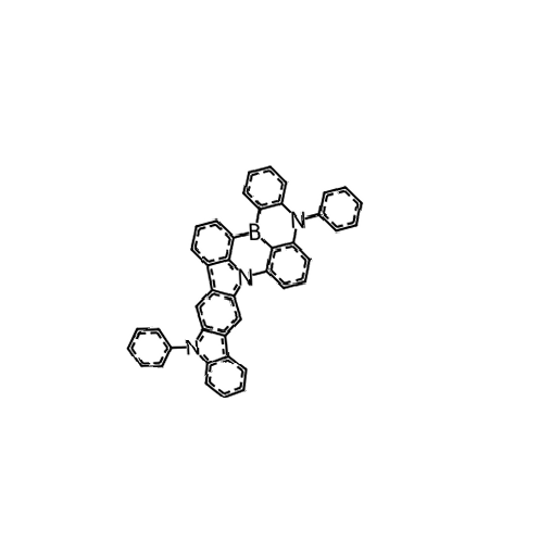 c1ccc(N2c3ccccc3B3c4c2cccc4-n2c4cc5c6ccccc6n(-c6ccccc6)c5cc4c4cccc3c42)cc1